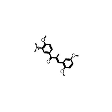 COc1ccc(OC)c(/C=C(\C)C(=O)c2ccc(OC)c(N(C)C)c2)c1